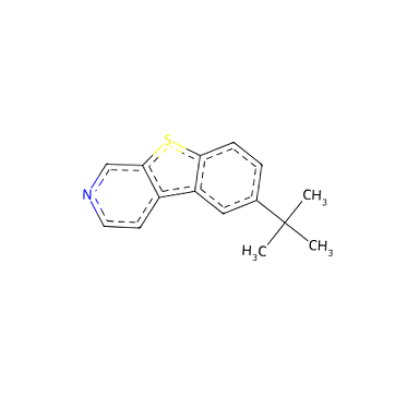 CC(C)(C)c1ccc2sc3cnccc3c2c1